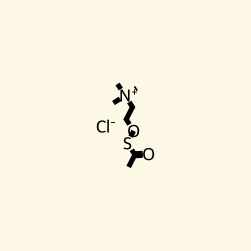 CC(=O)SOCC[N+](C)(C)C.[Cl-]